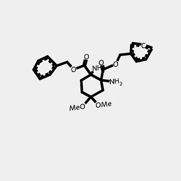 COC1(OC)CCC(N)(C(=O)OCc2ccccc2)C(N)(C(=O)OCc2ccccc2)C1